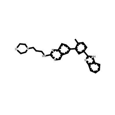 Cc1ccc(-c2nc3ccccc3[nH]2)cc1-c1ccc2nc(NCCCN3CCOCC3)ncc2c1